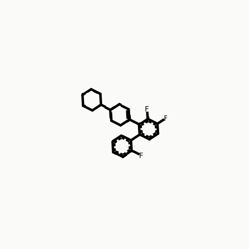 Fc1ccccc1-c1ccc(F)c(F)c1C1=CCC(C2CCCCC2)CC1